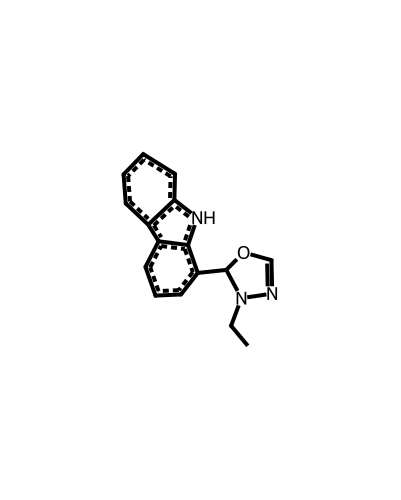 CCN1N=COC1c1cccc2c1[nH]c1ccccc12